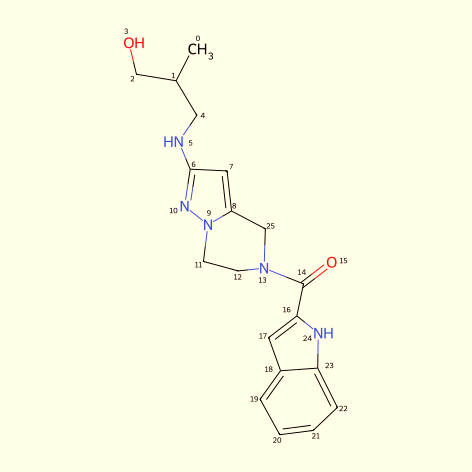 CC(CO)CNc1cc2n(n1)CCN(C(=O)c1cc3ccccc3[nH]1)C2